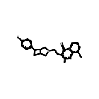 Cc1nc2c(C)cccn2c(=O)c1CCN1CC2CC(c3ccc(F)cc3)C2C1